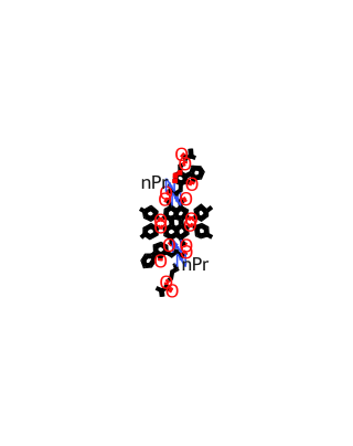 C=C(C)C(=O)OCCCCN(CCC)C(=O)C(Cc1cccc2c1oc1ccccc12)N1C(=O)c2cc(Oc3ccc(C)cc3)c3c4c(Oc5ccc(C)cc5)cc5c6c(cc(Oc7ccc(C)cc7)c(c7c(Oc8ccc(C)cc8)cc(c2c37)C1=O)c64)C(=O)N(C(Cc1cccc2c1oc1ccccc12)C(=O)N(CCC)CCCCOC(=O)C(=C)C)C5=O